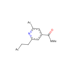 CNC(=O)c1cc(CCC(C)=O)nc(C(C)=O)c1